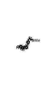 CCN(CCOC)Cc1ccc(COC2=C3CN(C4CCC(=O)NC4=O)C(=O)C3=CCC2)cc1